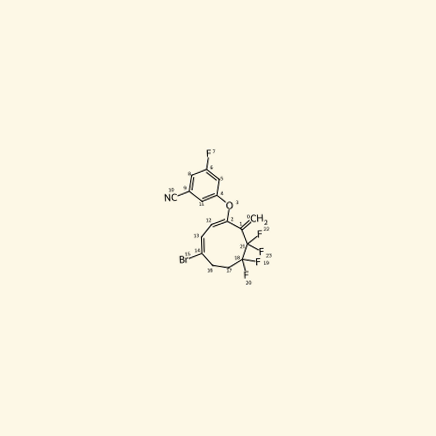 C=C1/C(Oc2cc(F)cc(C#N)c2)=C\C=C(\Br)CCC(F)(F)C1(F)F